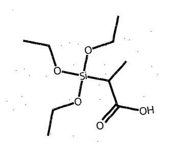 CCO[Si](OCC)(OCC)C(C)C(=O)O